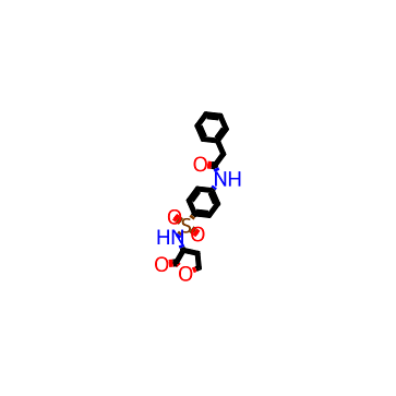 O=C(Cc1ccccc1)Nc1ccc(S(=O)(=O)NC2CCOC2=O)cc1